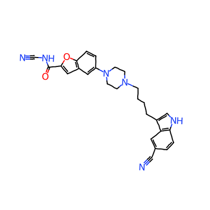 N#CNC(=O)c1cc2cc(N3CCN(CCCCc4c[nH]c5ccc(C#N)cc45)CC3)ccc2o1